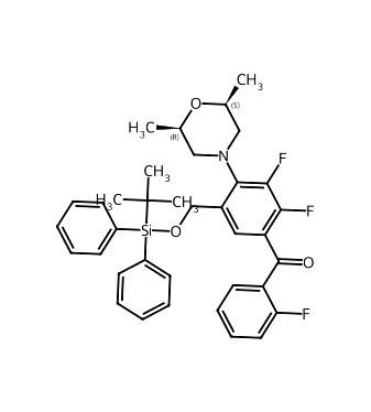 C[C@@H]1CN(c2c(CO[Si](c3ccccc3)(c3ccccc3)C(C)(C)C)cc(C(=O)c3ccccc3F)c(F)c2F)C[C@H](C)O1